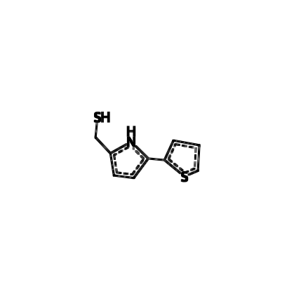 SCc1ccc(-c2cccs2)[nH]1